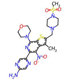 Cc1c(CN2CCN(S(C)(=O)=O)CC2)sc2c(N3CCOCC3)nc(-c3cnc(N)cn3)c([N+](=O)[O-])c12